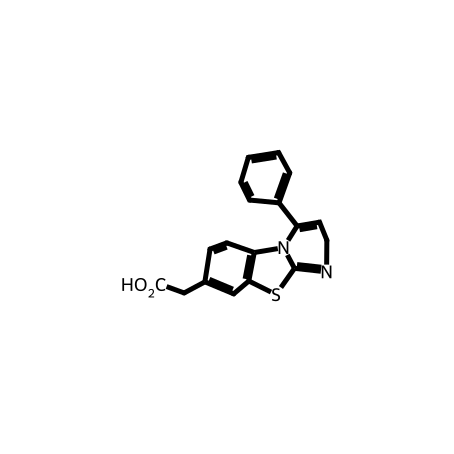 O=C(O)Cc1ccc2c(c1)SC1=NCC=C(c3ccccc3)N12